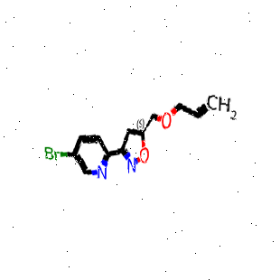 C=CCOC[C@@H]1CC(c2ccc(Br)cn2)=NO1